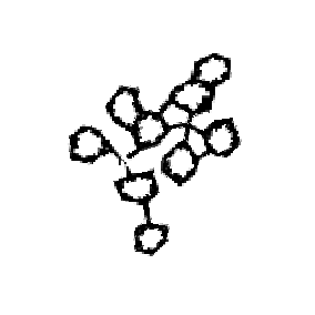 c1ccc(-c2ccc(N(c3ccccc3)c3cc4c(c5ccccc35)-c3cc5ccccc5cc3C43c4ccccc4-c4ccccc43)cc2)cc1